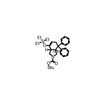 CC[Si](CC)(CC)OC1=CCC(c2ccccc2)(c2ccccc2)[C@@H]2CN(C(=O)OC(C)(C)C)C[C@H]12